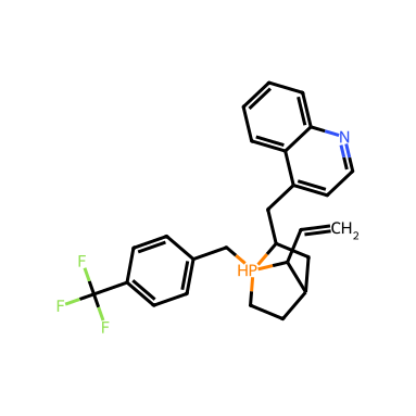 C=CC1C2CC[PH]1(Cc1ccc(C(F)(F)F)cc1)C(Cc1ccnc3ccccc13)C2